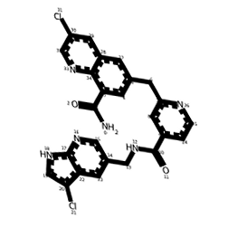 NC(=O)c1cc(Cc2cc(C(=O)NCc3cnc4[nH]cc(Cl)c4c3)ccn2)cc2cc(Cl)cnc12